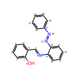 Oc1ccccc1C=Nc1ccccc1N=Nc1ccccc1